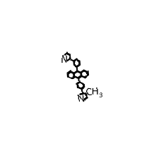 Cc1ccncc1-c1ccc(-c2c3ccccc3c(-c3cccc(-c4cccnc4)c3)c3ccccc23)cc1